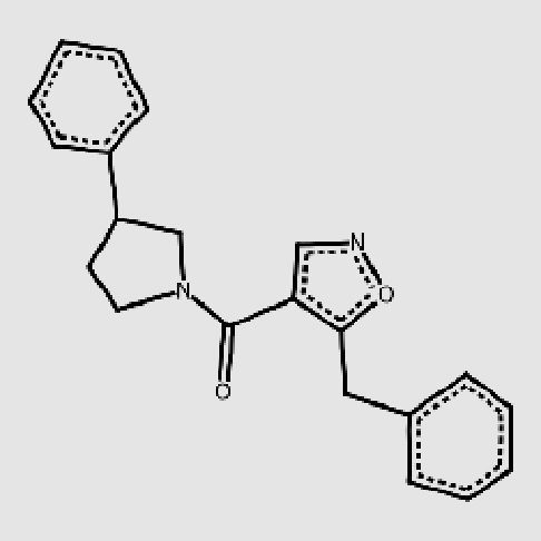 O=C(c1cnoc1Cc1ccccc1)N1CCC(c2ccccc2)C1